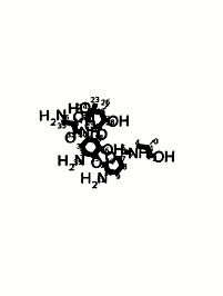 C[C@H](CO)CNC[C@@H]1CCC(N)[C@@H](OC2C(O)C(O[C@H]3OCC(C)(O)[C@H](C)C3O)[C@H](NC(=O)[C@@H](O)CN)C[C@@H]2N)O1